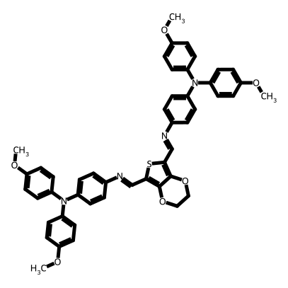 COc1ccc(N(c2ccc(/N=C/c3sc(/C=N/c4ccc(N(c5ccc(OC)cc5)c5ccc(OC)cc5)cc4)c4c3OCCO4)cc2)c2ccc(OC)cc2)cc1